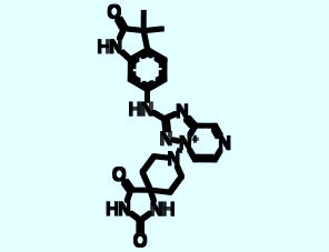 CC1(C)C(=O)Nc2cc(NC3=N[N+]4(N5CCC6(CC5)NC(=O)NC6=O)C=CN=CC4=N3)ccc21